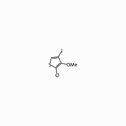 COc1c(I)csc1Cl